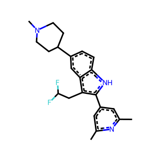 Cc1cc(-c2[nH]c3ccc(C4CCN(C)CC4)cc3c2CC(F)F)cc(C)n1